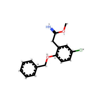 COC(=N)Cc1cc(Cl)ccc1OCc1ccccc1